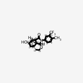 Cc1ccc(N2C(=O)[C@H]3[C@H]4O[C@]5(CCO[C@@H]2[C@@H]35)C[C@@H]4O)cc1C(F)(F)F